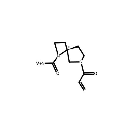 C=CC(=O)N1CC[C@@]2(CCN2C(=O)NC)C1